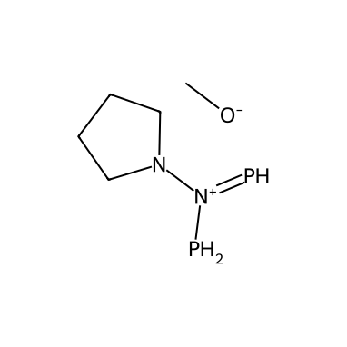 C[O-].P=[N+](P)N1CCCC1